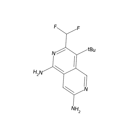 CC(C)(C)c1c(C(F)F)nc(N)c2cc(N)ncc12